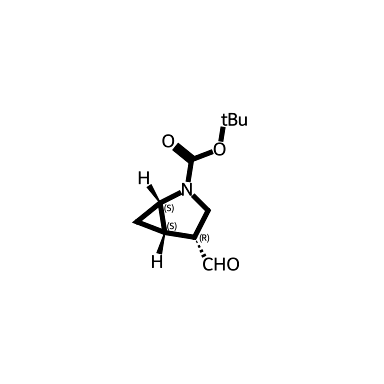 CC(C)(C)OC(=O)N1C[C@H](C=O)[C@@H]2C[C@@H]21